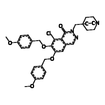 COc1ccc(COc2cc3cnn(CC45CCN(CC4)CC5)c(=O)c3c(Cl)c2OCc2ccc(OC)cc2)cc1